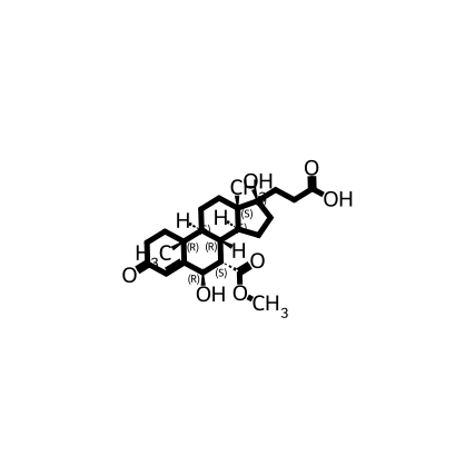 COC(=O)[C@H]1[C@@H]2[C@H](CC[C@@]3(C)[C@H]2CC[C@@]3(O)CCC(=O)O)[C@@]2(C)CCC(=O)C=C2[C@@H]1O